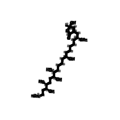 CCCCCCCCCCCC[C@@H](O)[C@H](O)CC[C@@H](O)[C@H](O)CCCC[C@H](O)CCCCC[C@H](CC1=C[C@@](C)(O)OC1=O)OC(C)=O